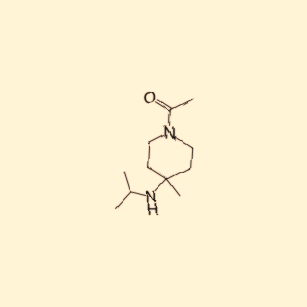 CC(=O)N1CCC(C)(NC(C)C)CC1